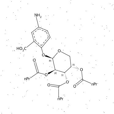 CCCC(=O)O[C@@H]1[C@@H](OC(=O)CCC)[C@@H](Oc2ccc(N)cc2C(=O)O)OC[C@@H]1OC(=O)CCC